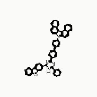 c1ccc(C2N=C(c3ccc(-c4ccc(-n5c6ccc7ccccc7c6c6c7ccccc7ccc65)cc4)cc3)N=C(c3ccc4c(c3)sc3ccccc34)N2)cc1